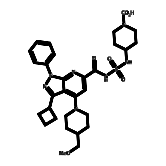 COCC1CCN(c2cc(C(=O)NS(=O)(=O)NC3CCN(C(=O)O)CC3)nc3c2c(C2CCC2)nn3-c2ccccc2)CC1